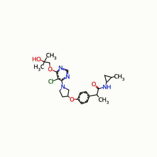 CC(C(=O)NC1CC1C)c1ccc(OC2CCN(c3ncnc(OCC(C)(C)O)c3Cl)C2)cc1